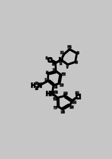 Nc1cc(C(=O)N2CCCCC2)ccc1Nc1cccc(Cl)c1